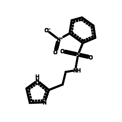 O=[N+]([O-])c1ccccc1S(=O)(=O)NCCc1ncc[nH]1